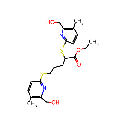 CCOC(=O)C(CCCSc1ccc(C)c(CO)n1)Sc1ccc(C)c(CO)n1